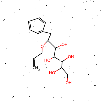 C=CCOC(Cc1ccccc1)C(O)C(O)C(O)C(O)CO